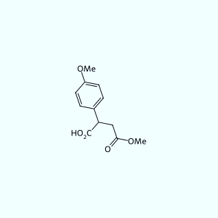 COC(=O)CC(C(=O)O)c1ccc(OC)cc1